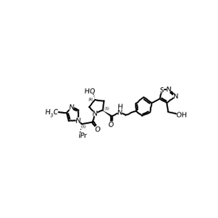 Cc1cn([C@H](C(=O)N2C[C@H](O)C[C@H]2C(=O)NCc2ccc(-c3snnc3CO)cc2)C(C)C)cn1